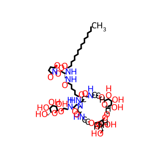 CCCCCCCCCCCCCCCC(=O)N[C@H](CNC(=O)CCCCC(=O)NC1CC(=O)NCCO[C@H]2O[C@H](COO[C@@H]3[C@H](O)[C@@H](OCCNC(=O)CN1CC(=O)NCCO[C@H]1O[C@H](CO)[C@@H](O)[C@@H](O)[C@@H]1O)O[C@H](CO)[C@H]3O)[C@@H](O)[C@H](O)[C@@H]2O)C(=O)ON1C(=O)CCC1=O